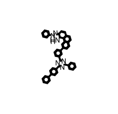 N=C1/C(=N\Nc2ccccc2)C=Cc2ccc3ccc(-c4cccc(-c5nc(-c6ccccc6)nc(-c6ccc(-c7ccccc7)cc6)n5)c4)cc3c21